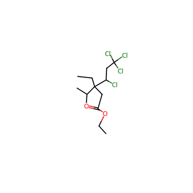 CCOC(=O)CC(CC)(C(C)C)C(Cl)CC(Cl)(Cl)Cl